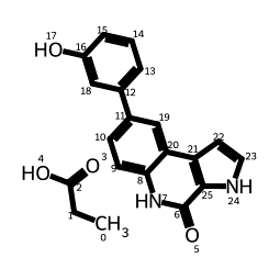 CCC(=O)O.O=c1[nH]c2ccc(-c3cccc(O)c3)cc2c2cc[nH]c12